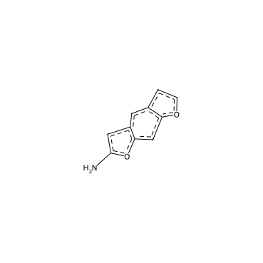 Nc1cc2cc3ccoc3cc2o1